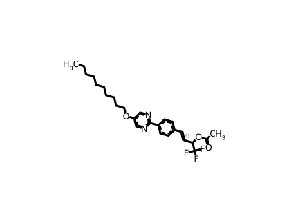 CCCCCCCCCCOc1cnc(-c2ccc(/C=C/C(OC(C)=O)C(F)(F)F)cc2)nc1